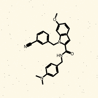 COc1ccc2cc(C(=O)NCc3ccc(N(C)C)cc3)n(Cc3cccc(C#N)c3)c2c1